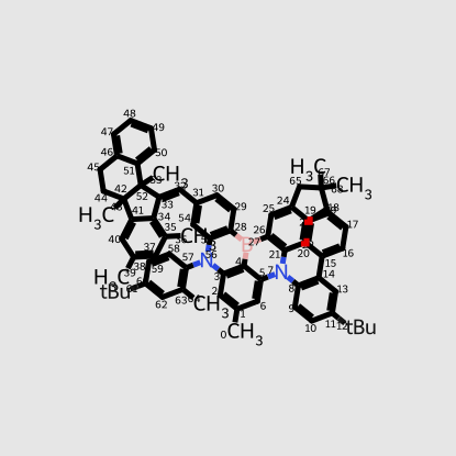 Cc1cc2c3c(c1)N(c1ccc(C(C)(C)C)cc1-c1ccccc1)c1cc4c(cc1B3c1ccc(/C=C3\c5c(C)cc(C)cc5C5(C)CCc6ccccc6C35C)cc1N2c1ccc(C(C)(C)C)cc1C)CC(C)(C)C4